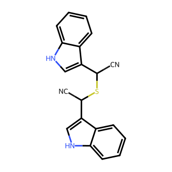 N#CC(SC(C#N)c1c[nH]c2ccccc12)c1c[nH]c2ccccc12